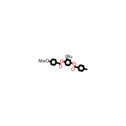 COc1ccc(C(=O)Oc2ccc(OC(=O)c3ccc(C)cc3)cc2C(C)(C)C)cc1